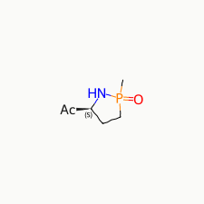 CC(=O)[C@@H]1CCP(C)(=O)N1